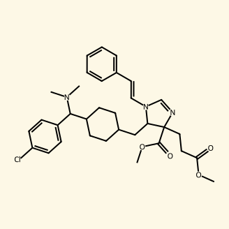 COC(=O)CCC1(C(=O)OC)N=CN(C=Cc2ccccc2)C1CC1CCC(C(c2ccc(Cl)cc2)N(C)C)CC1